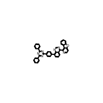 c1ccc(-c2nc(-c3ccccc3)nc(-c3ccc(-c4cccc5c(-c6nccc7oc8ccccc8c67)ncnc45)cc3)n2)cc1